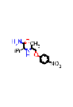 CC(COc1ccc([N+](=O)[O-])cc1)N[C@H](C(N)=O)C(C)C